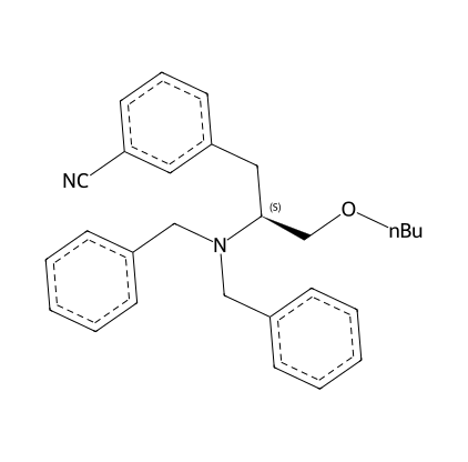 CCCCOC[C@H](Cc1cccc(C#N)c1)N(Cc1ccccc1)Cc1ccccc1